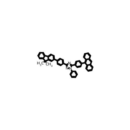 CC1(C)c2ccccc2-c2ccc(-c3ccc(-c4nc(-c5ccc(-c6c7ccccc7cc7ccccc67)cc5)n(-c5ccccc5)n4)cc3)cc21